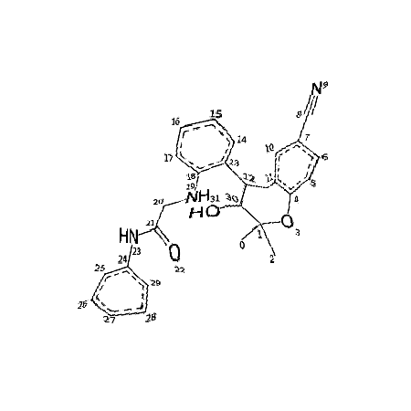 CC1(C)Oc2ccc(C#N)cc2C(c2ccccc2NCC(=O)Nc2ccccc2)C1O